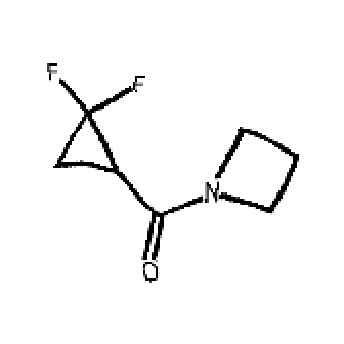 O=C(C1CC1(F)F)N1CCC1